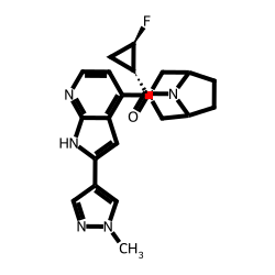 Cn1cc(-c2cc3c(N4CC5CCC(C4)N5C(=O)[C@@H]4C[C@H]4F)ccnc3[nH]2)cn1